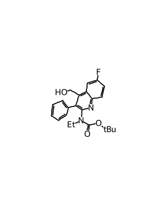 CCN(C(=O)OC(C)(C)C)c1nc2ccc(F)cc2c(CO)c1-c1ccccc1